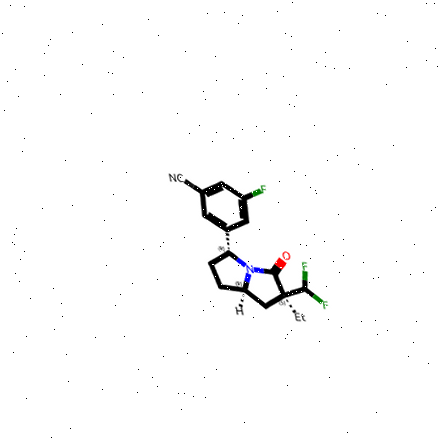 CC[C@]1(C(F)F)C[C@H]2CC[C@H](c3cc(F)cc(C#N)c3)N2C1=O